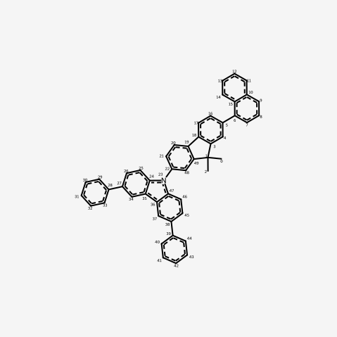 CC1(C)c2cc(-c3cccc4ccccc34)ccc2-c2ccc(-n3c4ccc(-c5ccccc5)cc4c4cc(-c5ccccc5)ccc43)cc21